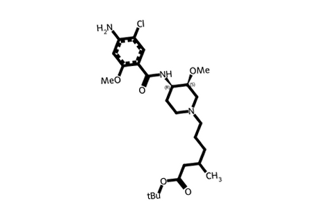 COc1cc(N)c(Cl)cc1C(=O)N[C@@H]1CCN(CCCC(C)CC(=O)OC(C)(C)C)C[C@@H]1OC